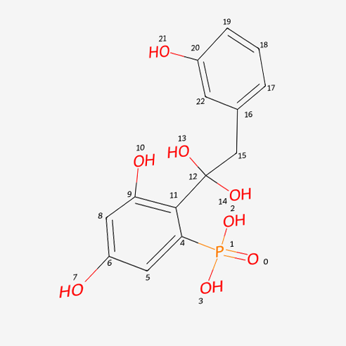 O=P(O)(O)c1cc(O)cc(O)c1C(O)(O)Cc1cccc(O)c1